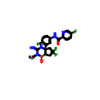 CN1C(=N)NC2(c3cc(NC(=O)c4ccc(F)cn4)ccc3F)CC(F)(F)CC2[S+]1[O-]